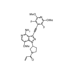 C=CC(=O)N1CCC(n2nc(C#Cc3c(F)c(OC)nc(OC)c3F)c3c(N)ncc(OC)c32)C1